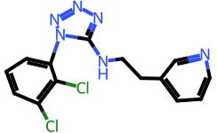 Clc1cccc(-n2nnnc2NCCc2cccnc2)c1Cl